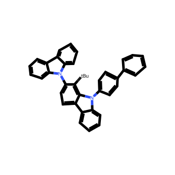 CC(C)(C)c1c(-n2c3ccccc3c3ccccc32)ccc2c3ccccc3n(-c3ccc(-c4ccccc4)cc3)c12